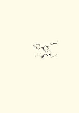 CCCCOc1cncc(N2CCN(C)CC2)c1.O=C(O)/C=C/C(=O)O